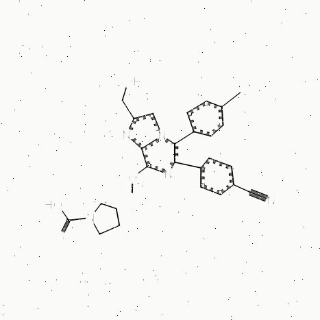 Cc1ccc(-c2c(-c3ccc(C#N)cc3)nc(OC[C@@H]3CCN(C(=O)O)C3)c3nc(CO)cn23)cc1